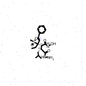 CCC(/C=C/c1ccccc1)([C@H](C(=O)NO)[C@@H](CC(C)C)C(=O)NN)S(C)(=O)=O